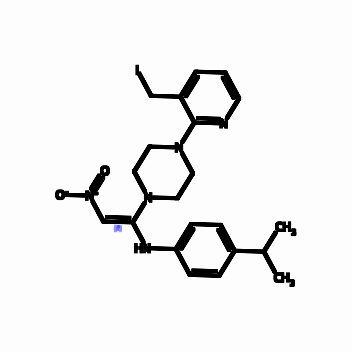 CC(C)c1ccc(N/C(=C/[N+](=O)[O-])N2CCN(c3ncccc3CI)CC2)cc1